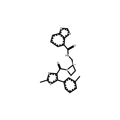 Cc1cccc(-c2sc(C)nc2C(=O)N2CC[C@@H]2CNC(=O)c2cccc3ocnc23)c1